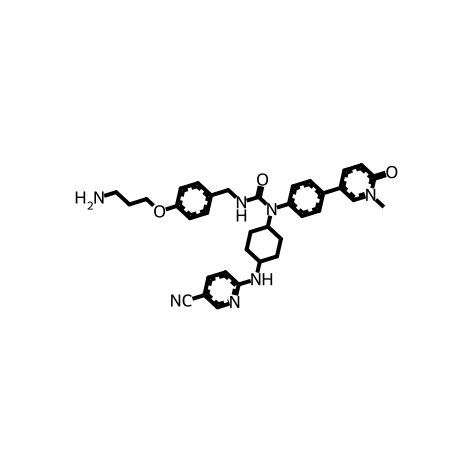 Cn1cc(-c2ccc(N(C(=O)NCc3ccc(OCCCN)cc3)C3CCC(Nc4ccc(C#N)cn4)CC3)cc2)ccc1=O